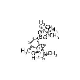 Cc1ccc(B2OC(C)(C)C(C)(C)O2)cc1[C@@]1(O)CCN(C)C1=O